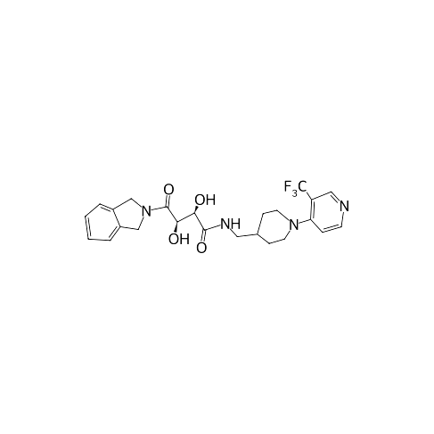 O=C(NCC1CCN(c2ccncc2C(F)(F)F)CC1)[C@H](O)[C@@H](O)C(=O)N1Cc2ccccc2C1